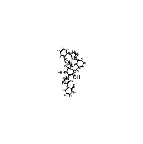 OC[C@H]1O[C@@H](S[C@@H]2CCC[C@H](n3cc(-c4ccccc4F)nn3)[C@@H]2O)[C@H](O)[C@H](n2cc(-c3ccccc3F)nn2)[C@H]1O